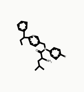 CCC(c1ccccc1)c1ccc(CN(C(=O)C(N)CC(C)C)c2ccc(F)cc2)cn1